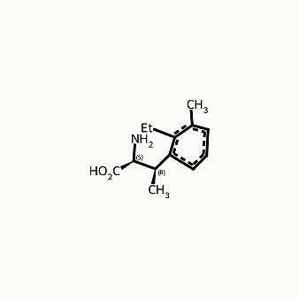 CCc1c(C)cccc1[C@@H](C)[C@H](N)C(=O)O